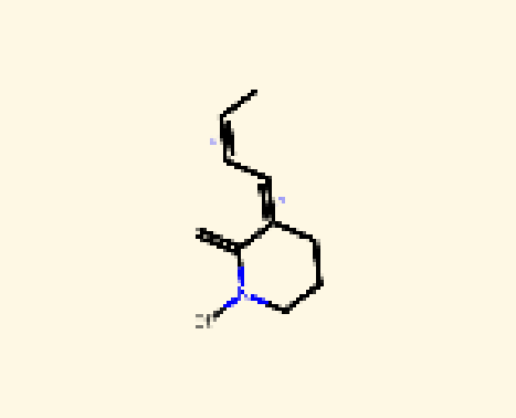 C=C1/C(=C\C=C/C)CCCN1CC